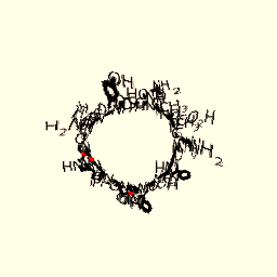 CC(C)C[C@@H]1NC(=O)[C@H](Cc2c[nH]cn2)NC(=O)[C@@H]2CCCN2C(=O)[C@H](CC(N)=O)NC(=O)[C@H](C)N(C)C(=O)[C@H](Cc2ccc(O)cc2)NC(=O)CSC[C@@H](C(O)NCC(N)=O)NC(=O)[C@H](C)NC(=O)[C@H](CC(=O)O)N(C)C[C@H](CCCCN)N(C)C(=O)[C@H](Cc2c[nH]c3ccccc23)NC(=O)[C@H](CO)NC(=O)[C@H](Cc2c[nH]c3ccccc23)NC(=O)[C@@H]2C[C@@H](O)CN2C1=O